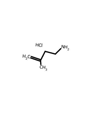 C=C(C)CCN.Cl